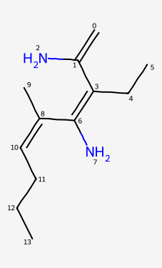 C=C(N)/C(CC)=C(N)\C(C)=C/CCC